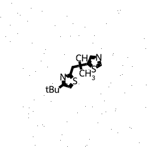 CC(C)(C)c1csc(CC(C)(C)c2cncs2)n1